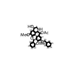 COc1ccc(C(OC(C)=O)C2NCC(O)c3cc(OC)c(OCc4ccccc4)cc32)cc1OCc1ccccc1